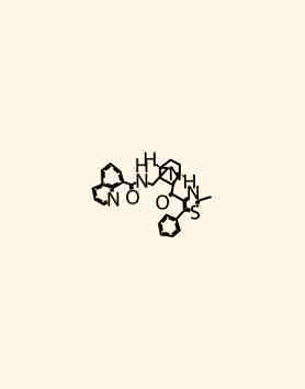 Cc1nc(C(=O)N2C(CNC(=O)c3cccc4cccnc34)[C@H]3CC[C@H]2CC3)c(-c2ccccc2)s1